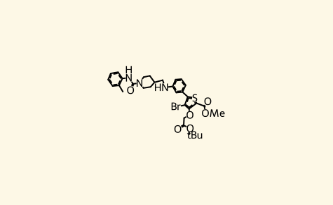 COC(=O)c1sc(-c2cccc(NCC3CCN(C(=O)Nc4ccccc4C)CC3)c2)c(Br)c1OCC(=O)OC(C)(C)C